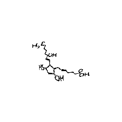 CCCCCC(O)C=CC1C(S)CC(O)C1CC=CCCCC(=O)O